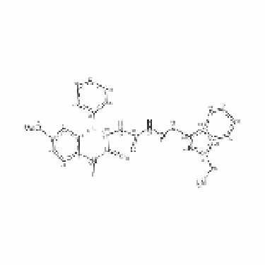 COc1ccc(N(C)C(=O)[C@H](Cc2ccccc2)NC(=O)NOSn2nc(CN)c3ccccc32)cc1